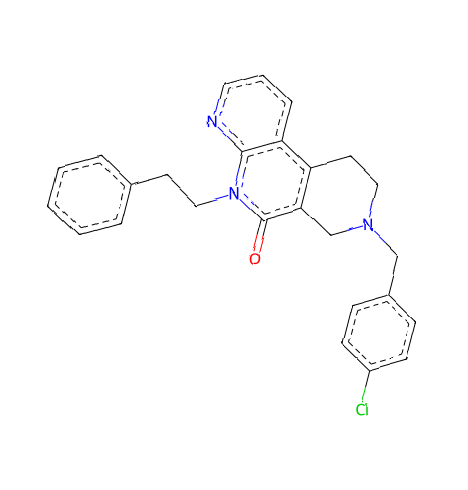 O=c1c2c(c3cccnc3n1CCc1ccccc1)CCN(Cc1ccc(Cl)cc1)C2